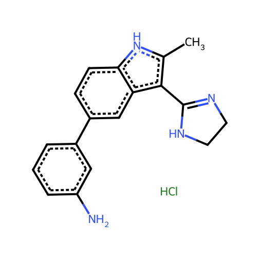 Cc1[nH]c2ccc(-c3cccc(N)c3)cc2c1C1=NCCN1.Cl